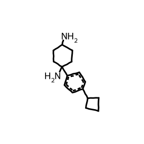 NC1CCC(N)(c2ccc(C3CCC3)cc2)CC1